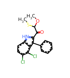 COC(SC)C(=O)c1[nH]c2ccc(Cl)c(Cl)c2c1-c1ccccc1